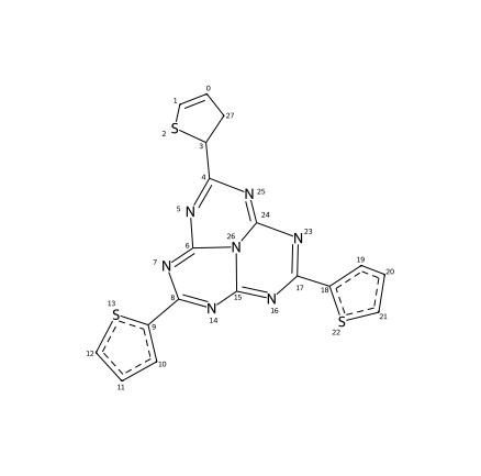 C1=CSC(C2=NC3=NC(c4cccs4)=NC4=NC(c5cccs5)=NC(=N2)N43)C1